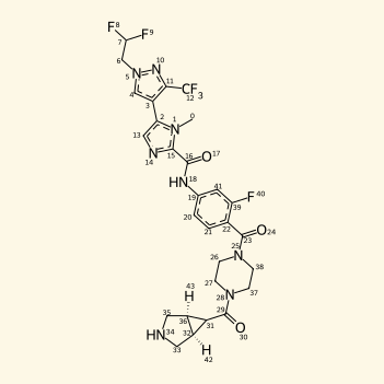 Cn1c(-c2cn(CC(F)F)nc2C(F)(F)F)cnc1C(=O)Nc1ccc(C(=O)N2CCN(C(=O)C3[C@H]4CNC[C@@H]34)CC2)c(F)c1